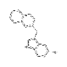 Brc1ccc2[nH]cc(Cc3ccc4ccccc4c3)c2c1